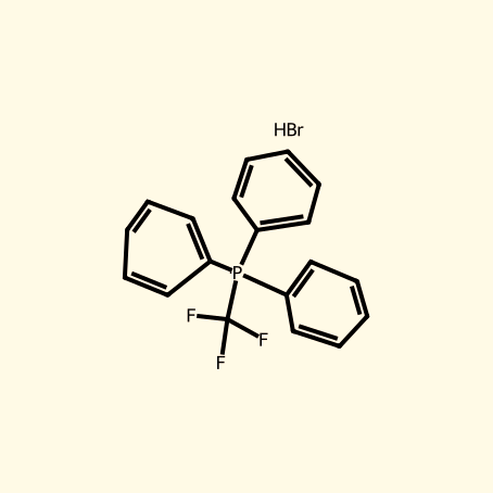 Br.FC(F)(F)[P](c1ccccc1)(c1ccccc1)c1ccccc1